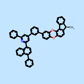 C[C@@H]1c2ccccc2-c2c1ccc1c2Oc2cc(-c3cccc(-c4cc(-c5ccccc5)nc(-c5ccc(-c6ccccc6)c6ccccc56)c4)c3)ccc2O1